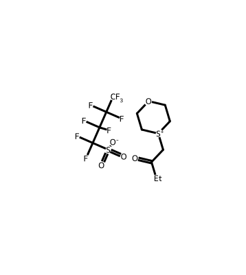 CCC(=O)C[S+]1CCOCC1.O=S(=O)([O-])C(F)(F)C(F)(F)C(F)(F)C(F)(F)F